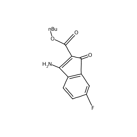 CCCCOC(=O)C1=C(N)c2ccc(F)cc2C1=O